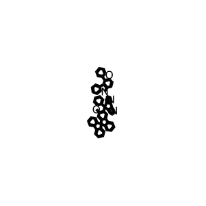 c1ccc2c(c1)Oc1cc3c(cc1C21c2cccnc2-c2ncc(-n4c5ccccc5c5c6c(ccc54)oc4ccccc46)cc21)-c1ccccc1C31c2ccccc2-c2ccccc21